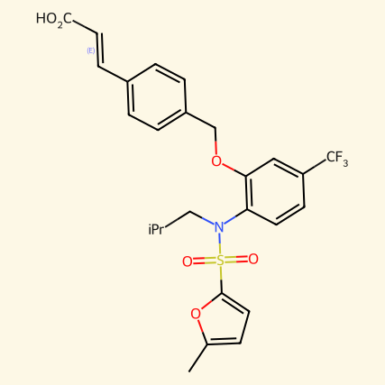 Cc1ccc(S(=O)(=O)N(CC(C)C)c2ccc(C(F)(F)F)cc2OCc2ccc(/C=C/C(=O)O)cc2)o1